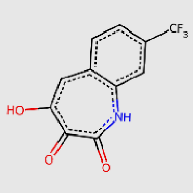 O=c1[nH]c2cc(C(F)(F)F)ccc2cc(O)c1=O